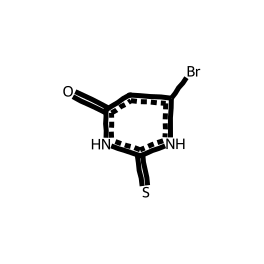 O=c1cc(Br)[nH]c(=S)[nH]1